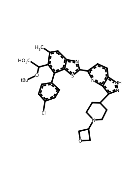 Cc1cc2nc(-c3ccc4[nH]nc(C5CCN(C6COC6)CC5)c4n3)sc2c(-c2ccc(Cl)cc2)c1C(OC(C)(C)C)C(=O)O